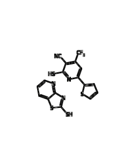 N#Cc1c(C(F)(F)F)cc(-c2cccs2)nc1S.Sc1nc2ncccc2s1